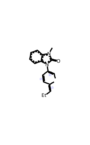 C\C=C(/C=C\C(C)=C/CC)n1c(=O)n(C)c2ccccc21